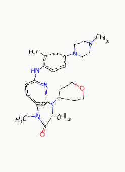 Cc1cc(N2CCN(C)CC2)ccc1Nc1ccc2c(n1)N(C1CCOCC1)[C@H](C)C(=O)N2C